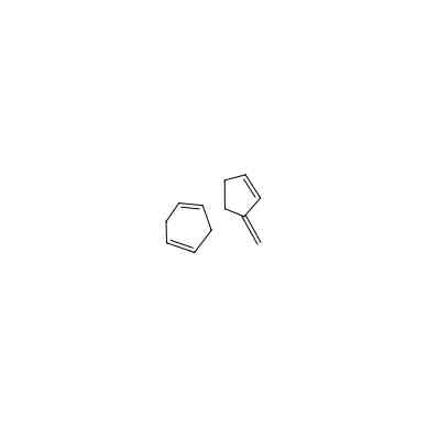 C1=CCC=CC1.C=C1C=CCC1